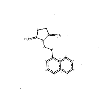 C=C1CCC(=C)N1CCc1cccc2ccccc12